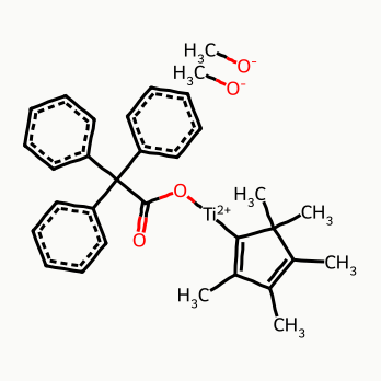 CC1=C(C)C(C)(C)[C]([Ti+2][O]C(=O)C(c2ccccc2)(c2ccccc2)c2ccccc2)=C1C.C[O-].C[O-]